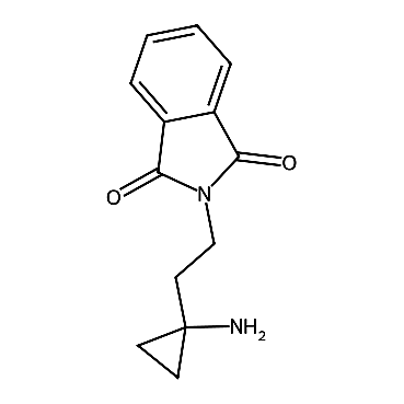 NC1(CCN2C(=O)c3ccccc3C2=O)CC1